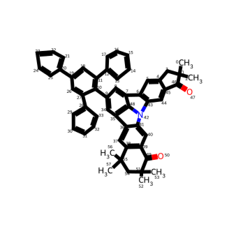 CC1(C)Cc2cc3c4cc(-c5c(-c6ccccc6)cc(-c6ccccc6)cc5-c5ccccc5)cc5c6cc7c(cc6n(c3cc2C1=O)c45)C(=O)C(C)(C)CC7(C)C